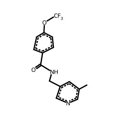 Cc1cncc(CNC(=O)c2ccc(OC(F)(F)F)cc2)c1